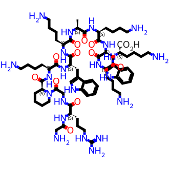 C[C@H](NC(=O)[C@H](CCCCN)NC(=O)[C@H](Cc1c[nH]c2ccccc12)NC(=O)[C@H](CCCCN)NC(=O)[C@@H]1CCCCN1C(=O)CNC(=O)[C@H](CCCNC(=N)N)NC(=O)CN)C(=O)N[C@@H](CCCCN)C(=O)N[C@@H](Cc1c[nH]c2ccccc12)C(=O)N[C@@H](CCCCN)C(=O)N[C@@H](CCCCN)C(=O)O